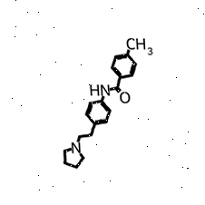 Cc1ccc(C(=O)Nc2ccc(CCN3CCCC3)cc2)cc1